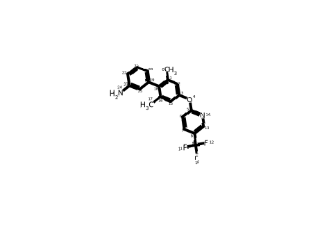 Cc1cc(Oc2ccc(C(F)(F)F)cn2)cc(C)c1-c1cccc(N)c1